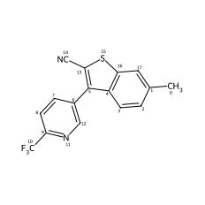 Cc1ccc2c(-c3ccc(C(F)(F)F)nc3)c(C#N)sc2c1